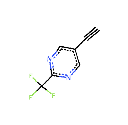 C#Cc1cnc(C(F)(F)F)nc1